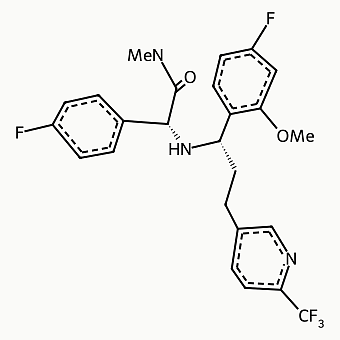 CNC(=O)[C@H](N[C@@H](CCc1ccc(C(F)(F)F)nc1)c1ccc(F)cc1OC)c1ccc(F)cc1